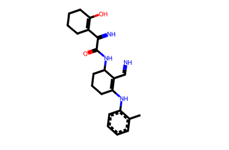 Cc1ccccc1NC1=C(C=N)C(NC(=O)C(=N)C2=C(O)CCCC2)CCC1